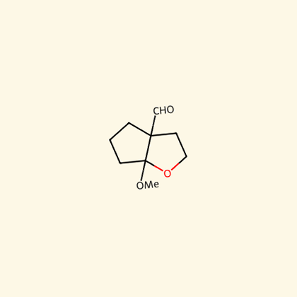 COC12CCCC1(C=O)CCO2